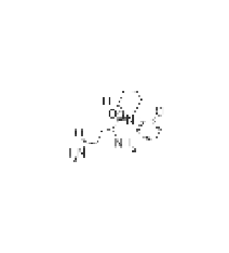 NC(=O)CCC(N)C1=N[C@]2(c3ccccc3Cl)CCC[C@H](O1)C2=O